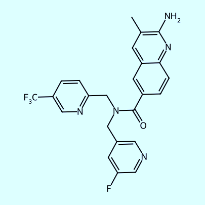 Cc1cc2cc(C(=O)N(Cc3cncc(F)c3)Cc3ccc(C(F)(F)F)cn3)ccc2nc1N